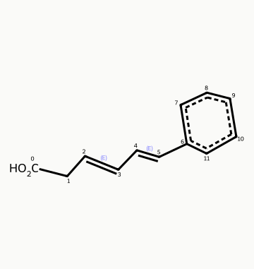 O=C(O)C/C=C/C=C/c1ccccc1